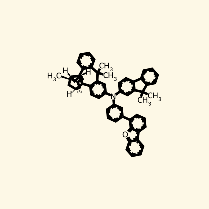 CC1(C)c2ccccc2-c2ccc(N(c3cccc(-c4cccc5c4oc4ccccc45)c3)c3ccc4c(c3)C(C)(C)c3ccccc3C3[C@H]5C[C@@H]6C[C@@H](C)C[C@@H](C5)C436)cc21